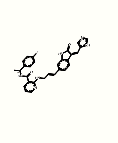 C[C@H](NC(=O)c1cccnc1NCC=Cc1ccc2c(c1)NC(=O)C2=Cc1cnc[nH]1)c1ccc(F)cc1